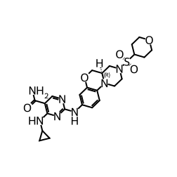 NC(=O)c1cnc(Nc2ccc3c(c2)OC[C@H]2CN(S(=O)(=O)C4CCOCC4)CCN32)nc1NC1CC1